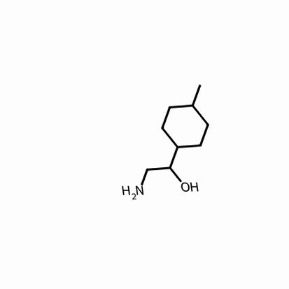 CC1CCC(C(O)CN)CC1